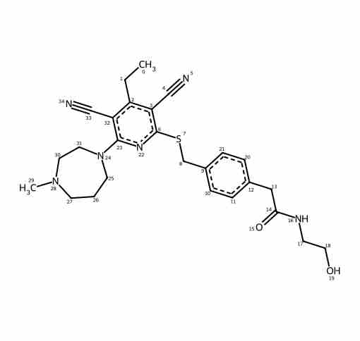 CCc1c(C#N)c(SCc2ccc(CC(=O)NCCO)cc2)nc(N2CCCN(C)CC2)c1C#N